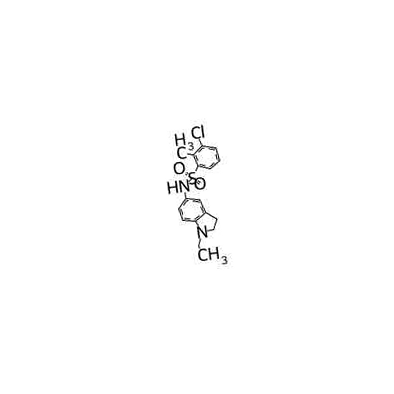 CCN1CCc2cc(NS(=O)(=O)c3cccc(Cl)c3C)ccc21